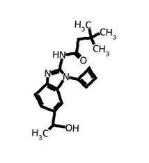 CC(O)c1ccc2nc(NC(=O)CC(C)(C)C)n(C3=CC=C3)c2c1